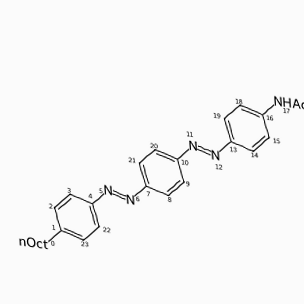 CCCCCCCCc1ccc(N=Nc2ccc(N=Nc3ccc(NC(C)=O)cc3)cc2)cc1